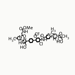 COC(=O)NCC(=O)N1C[C@@H](C)C[C@H]1c1nc(-c2ccc(-c3cc(Cl)c(NC(=O)c4ccc(N5CCN(C(=O)C(C)(C)CO)C[C@H]5C)nc4)cc3OC(F)(F)F)cc2)c(CO)[nH]1